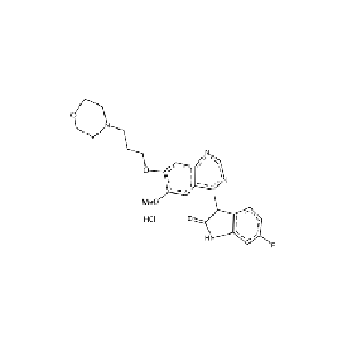 COc1cc2c(C3C(=O)Nc4cc(F)ccc43)ncnc2cc1OCCCN1CCOCC1.Cl